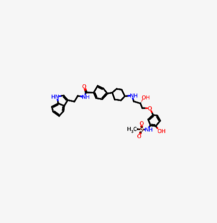 CS(=O)(=O)Nc1cc(OC[C@@H](O)CNC2CCC(c3ccc(C(=O)NCCc4c[nH]c5ccccc45)cc3)CC2)ccc1O